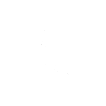 C[Si](C)(CCc1ccc(C#N)cc1)O[Si](C)(C)CCc1ccc(C#N)cc1